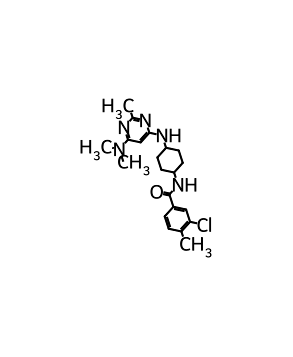 Cc1nc(NC2CCC(NC(=O)c3ccc(C)c(Cl)c3)CC2)cc(N(C)C)n1